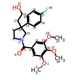 COc1cc(C(=O)N2CCC(CCO)(c3ccc(F)cc3)C2)cc(OC)c1OC